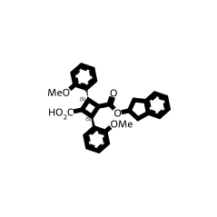 COc1ccccc1[C@H]1C(C(=O)O)[C@H](c2ccccc2OC)C1C(=O)OC1Cc2ccccc2C1